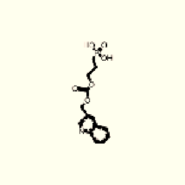 O=C(OCCCP(=O)(O)O)OCc1cnc2ccccc2c1